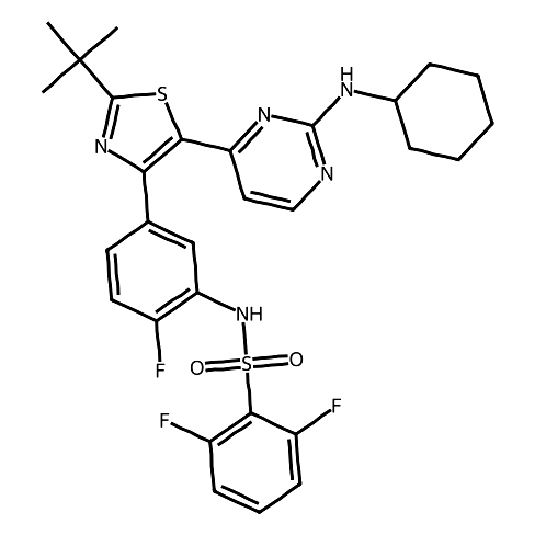 CC(C)(C)c1nc(-c2ccc(F)c(NS(=O)(=O)c3c(F)cccc3F)c2)c(-c2ccnc(NC3CCCCC3)n2)s1